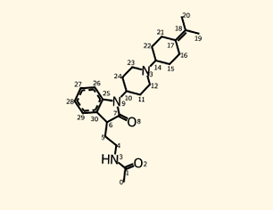 CC(=O)NCCC1C(=O)N(C2CCN(C3CCC(=C(C)C)CC3)CC2)c2ccccc21